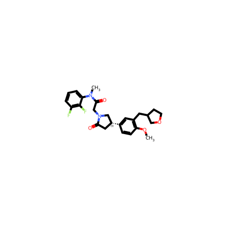 COc1ccc([C@@H]2CC(=O)N(CC(=O)N(C)c3cccc(F)c3F)C2)cc1CC1CCOC1